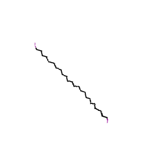 ICCCCCCCCCCCCCCCCCCCCCCCCI